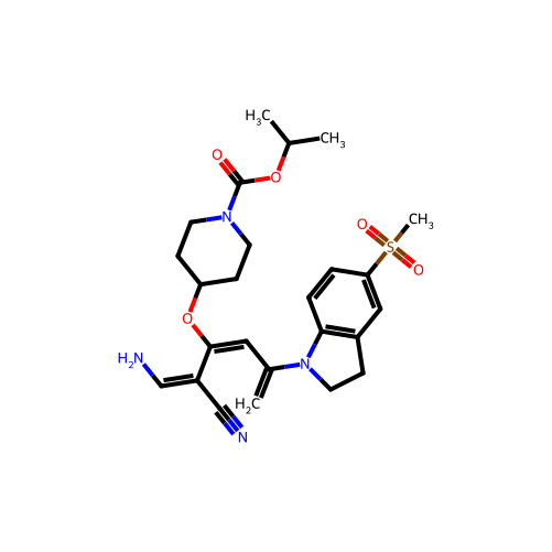 C=C(/C=C(OC1CCN(C(=O)OC(C)C)CC1)\C(C#N)=C/N)N1CCc2cc(S(C)(=O)=O)ccc21